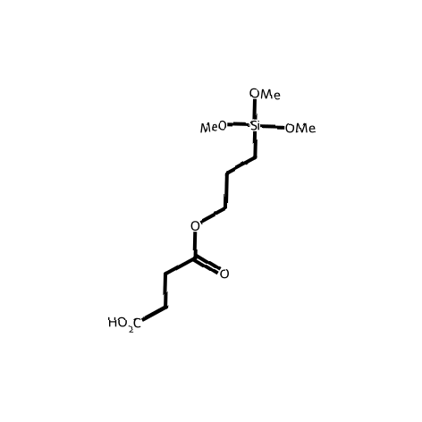 CO[Si](CCCOC(=O)CCC(=O)O)(OC)OC